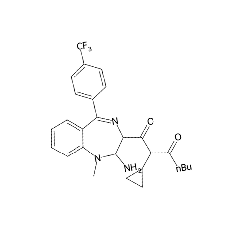 CCCCC(=O)C(C(=O)C1N=C(c2ccc(C(F)(F)F)cc2)c2ccccc2N(C)C1N)C1CC1